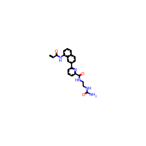 C=CC(=O)Nc1cccc2ccc(-c3cccc(C(=O)NCCNC(N)=O)n3)cc12